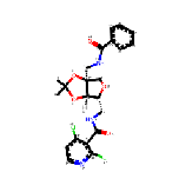 CC1(C)O[C@@H]2[C@@H](CNC(=O)c3c(Cl)ccnc3Cl)OC[C@]2(CNC(=O)c2ccccc2)O1